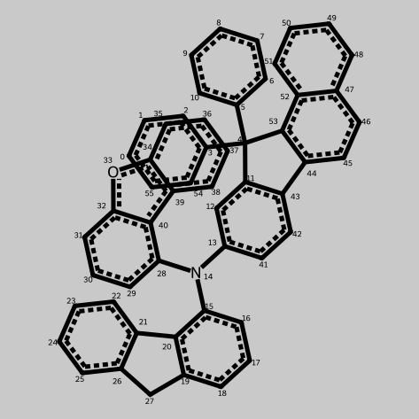 c1ccc(C2(c3ccccc3)c3cc(N(c4cccc5c4-c4ccccc4C5)c4cccc5oc6ccccc6c45)ccc3-c3ccc4ccccc4c32)cc1